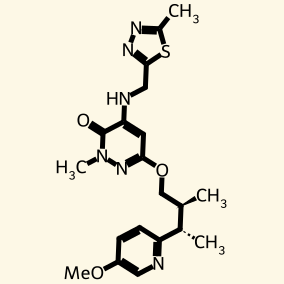 COc1ccc([C@@H](C)[C@H](C)COc2cc(NCc3nnc(C)s3)c(=O)n(C)n2)nc1